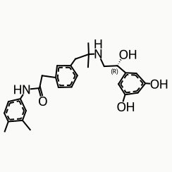 Cc1ccc(NC(=O)Cc2cccc(CC(C)(C)NC[C@H](O)c3cc(O)cc(O)c3)c2)cc1C